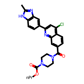 CCCOC(=O)N1CCN(C(=O)c2ccc3c(Cl)cc(-c4ccc5[nH]c(C)nc5c4)nc3c2)CC1